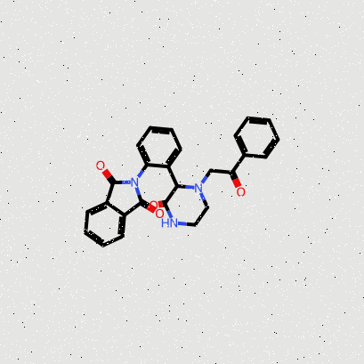 O=C(CN1CCNC(=O)C1c1ccccc1N1C(=O)c2ccccc2C1=O)c1ccccc1